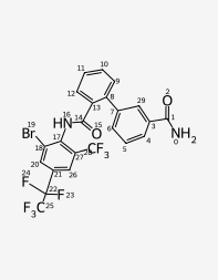 NC(=O)c1cccc(-c2ccccc2C(=O)Nc2c(Br)cc(C(F)(F)C(F)(F)F)cc2C(F)(F)F)c1